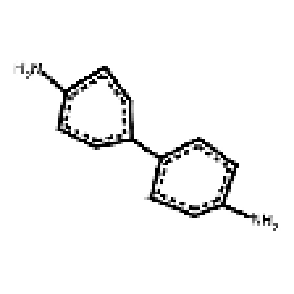 Nc1c[c]c(-c2ccc(N)cc2)cc1